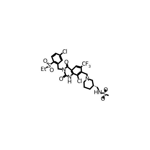 CCS(=O)(=O)c1ccc(Cl)cc1Cn1c(=O)[nH]c2c(Cl)c(CN3CCC[C@@H](CNS(C)(=O)=O)C3)c(C(F)(F)F)cc2c1=O